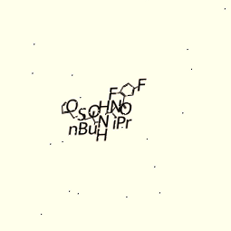 CCCCC(NCC(CC(C)C)NC(=O)c1cc(F)ccc1F)C(=O)CSCc1ccco1